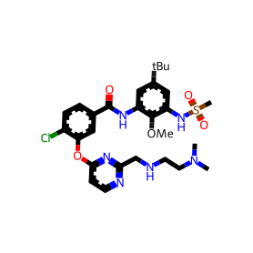 COc1c(NC(=O)c2ccc(Cl)c(Oc3ccnc(CNCCN(C)C)n3)c2)cc(C(C)(C)C)cc1NS(C)(=O)=O